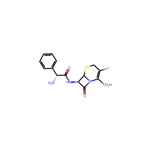 N[C@@H](C(=O)N[C@@H]1C(=O)N2C(C(=O)O)=C(Cl)CSC12)c1ccccc1